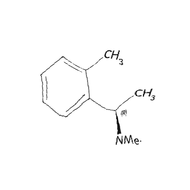 C[N][C@H](C)c1ccccc1C